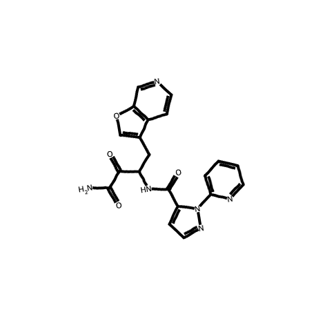 NC(=O)C(=O)C(Cc1coc2cnccc12)NC(=O)c1ccnn1-c1ccccn1